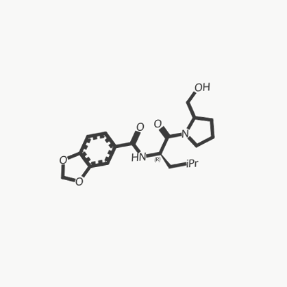 CC(C)C[C@@H](NC(=O)c1ccc2c(c1)OCO2)C(=O)N1CCCC1CO